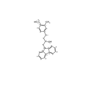 Cc1cc(OCC(O)Cn2c3ccccc3c3ccccc32)ccc1C(=O)O